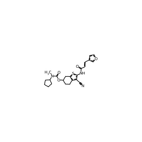 CN(C(=O)OC1CCc2c(sc(NC(=O)C=Cc3ccoc3)c2C#N)C1)C1CCCC1